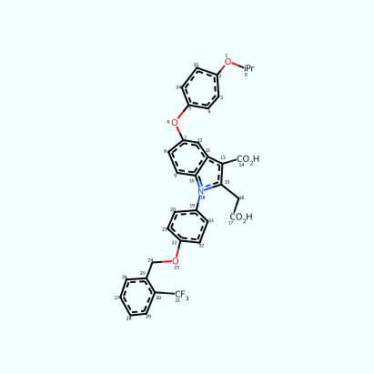 CC(C)Oc1ccc(Oc2ccc3c(c2)c(C(=O)O)c(CC(=O)O)n3-c2ccc(OCc3ccccc3C(F)(F)F)cc2)cc1